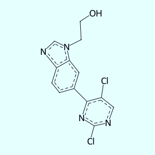 OCCn1cnc2ccc(-c3nc(Cl)ncc3Cl)cc21